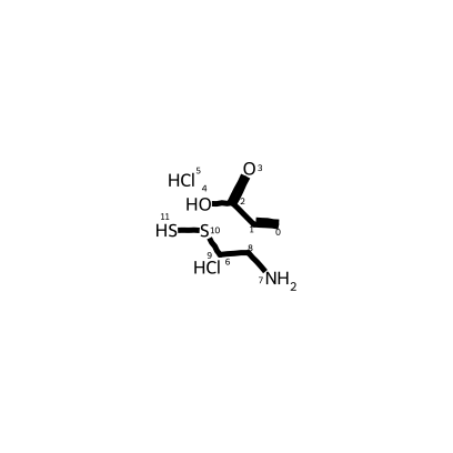 C=CC(=O)O.Cl.Cl.NCCSS